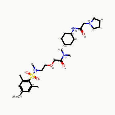 COc1cc(C)c(S(=O)(=O)N(C)CCOCC(=O)N(C)C[C@H]2CC[C@H](NC(=O)CN3CCCC3)CC2)c(C)c1